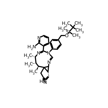 C[C@@H]1[C@H](C)/N=C(/c2cccnc2N)N(c2ccc(CO[Si](C)(C)C(C)(C)C)cc2)/C=N/C2[C@H](C=N)C2(CC#N)[C@H]1C